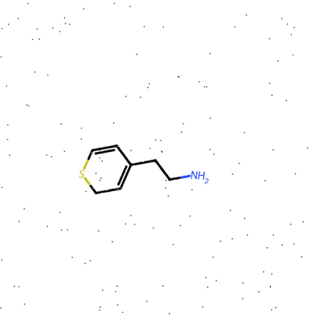 NCCC1=CCSC=C1